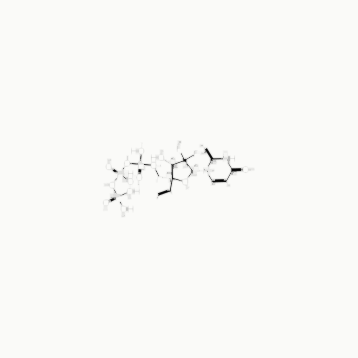 C=C[C@]1(COP(=O)(O)OP(=O)(O)OP(=O)(O)O)O[C@@H](N2C=CC(=O)NC2=C)C(F)(F)[C@@H]1O